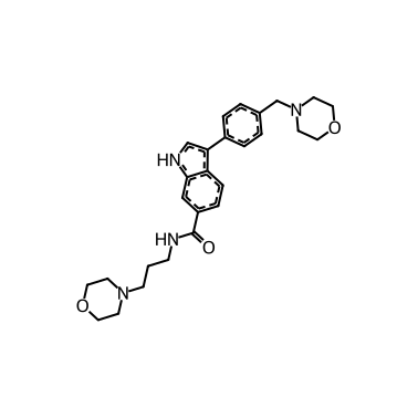 O=C(NCCCN1CCOCC1)c1ccc2c(-c3ccc(CN4CCOCC4)cc3)c[nH]c2c1